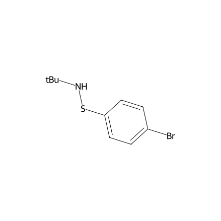 CC(C)(C)NSc1ccc(Br)cc1